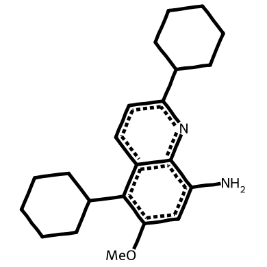 COc1cc(N)c2nc(C3CCCCC3)ccc2c1C1CCCCC1